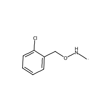 [CH2]NOCc1ccccc1Cl